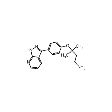 CC(C)(CCN)Oc1ccc(-c2n[nH]c3ncccc23)cc1